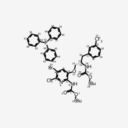 CC(C)(C)OC(=O)Nc1nc(Cl)c(Br)cc1OC[C@H](Cc1cccc(C(F)(F)F)c1)NC(=O)OC(C)(C)C.c1ccc(P(c2ccccc2)c2ccccc2)cc1